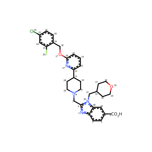 O=C(O)c1ccc2nc(CN3CCC(c4cccc(OCc5ccc(Cl)cc5F)n4)CC3)n(CC3CCOCC3)c2c1